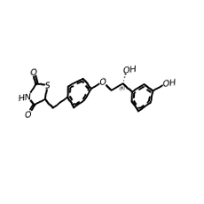 O=C1NC(=O)C(Cc2ccc(OC[C@H](O)c3cccc(O)c3)cc2)S1